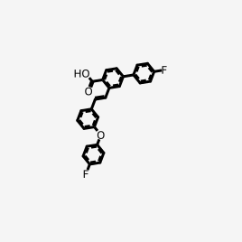 O=C(O)c1ccc(-c2ccc(F)cc2)cc1/C=C/c1cccc(Oc2ccc(F)cc2)c1